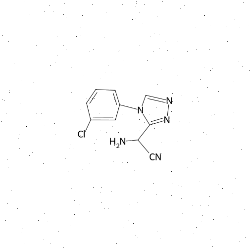 N#CC(N)c1nncn1-c1cccc(Cl)c1